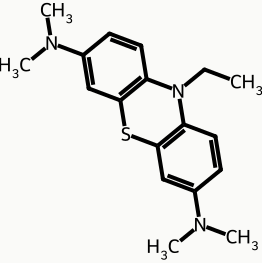 CCN1c2ccc(N(C)C)cc2Sc2cc(N(C)C)ccc21